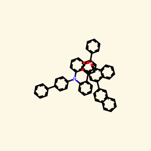 c1ccc(-c2ccc(-c3ccccc3N(c3ccc(-c4ccccc4)cc3)c3cccc4oc5c6ccccc6c(-c6ccc7ccccc7c6)cc5c34)cc2)cc1